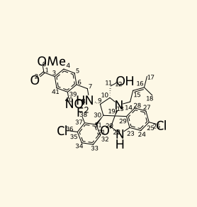 COC(=O)c1ccc(CN[C@@H]2[C@H](CO)N(CC=C(C)C)[C@@]3(C(=O)Nc4cc(Cl)ccc43)[C@H]2c2cccc(Cl)c2F)c([N+](=O)[O-])c1